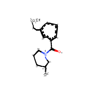 CCOC(=O)Cc1cccc(C(=O)N2CCCC(C(C)=O)C2)c1